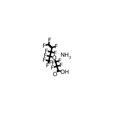 N.O=C(O)C(F)(F)C(F)(F)OC(F)(C(F)(F)F)C(F)(F)C(F)=C(F)F